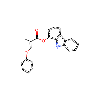 CC(=COc1ccccc1)C(=O)Oc1cccc2c1[nH]c1ccccc12